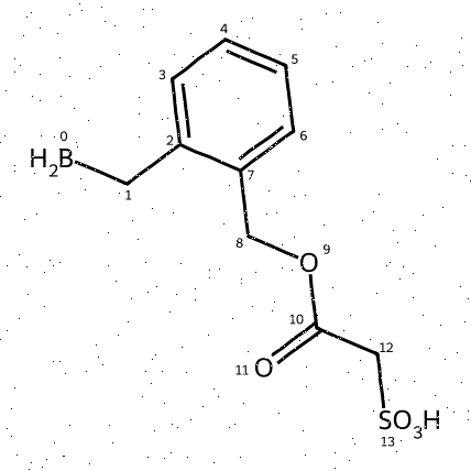 BCc1ccccc1COC(=O)CS(=O)(=O)O